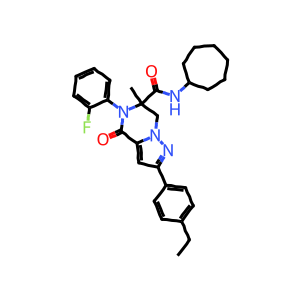 CCc1ccc(-c2cc3n(n2)CC(C)(C(=O)NC2CCCCCC2)N(c2ccccc2F)C3=O)cc1